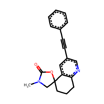 CN1CC2(CCCc3ncc(C#Cc4ccccc4)cc32)OC1=O